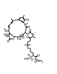 COC1/C=C/C=C(\C)Cc2cc(C)c(Cl)c(c2)N(C)C(=O)CC(OC(=O)[C@H](C)N(C)C(=O)CCC(C)(C)SSCCC(C(=O)NN)S(=O)(=O)O)[C@@]2(C)O[C@@H]2C(C)C2CC1(O)NC(=O)O2